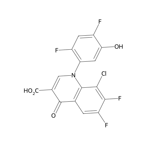 O=C(O)c1cn(-c2cc(O)c(F)cc2F)c2c(Cl)c(F)c(F)cc2c1=O